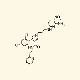 Nc1nc(NCCCn2cc(C(=O)NCCc3ccccn3)c(-c3ccc(Cl)cc3Cl)c2)ccc1[N+](=O)[O-]